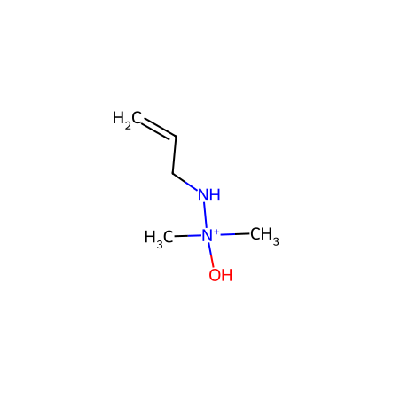 C=CCN[N+](C)(C)O